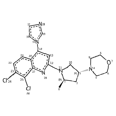 C[C@@H]1C[C@@H](N2CCOCC2)CN1c1cc(-n2ccnc2)c2ccc(Cl)c(Cl)c2n1